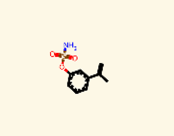 C=C(C)c1cccc(OS(N)(=O)=O)c1